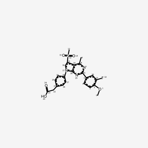 COc1ccc(-c2nc(C)c3c(S(C)(=O)=O)cn(-c4ccc(CC(=O)O)cc4)c3n2)cc1F